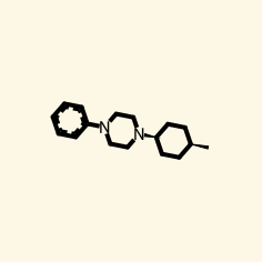 C[C@H]1CC[C@@H](N2CCN(c3ccccc3)CC2)CC1